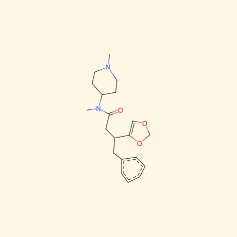 CN1CCC(N(C)C(=O)CC(Cc2ccccc2)C2=COCO2)CC1